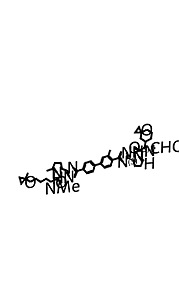 CNC(CCCOC1(C)CC1)C(=O)N1C(C)CCC1c1nc(-c2ccc(-c3ccc(-c4c[nH]c([C@@H]5CCCN5C(=O)[C@@H](NC=O)C5CCOC6(CC6)C5)n4)c(C)c3)cc2)c[nH]1